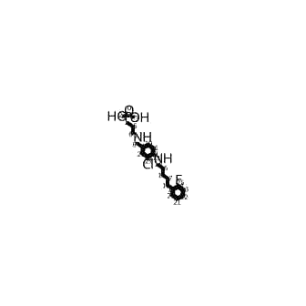 O=P(O)(O)CCCNCc1ccc(NCCCCCc2ccccc2F)c(Cl)c1